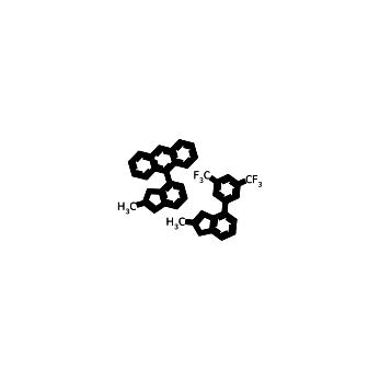 CC1=Cc2c(cccc2-c2cc(C(F)(F)F)cc(C(F)(F)F)c2)C1.CC1=Cc2cccc(-c3c4ccccc4cc4ccccc34)c2C1